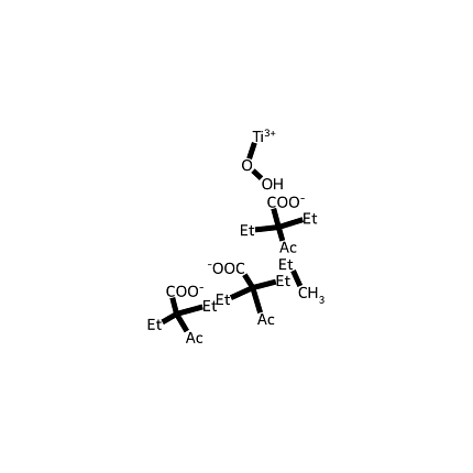 CCC.CCC(CC)(C(C)=O)C(=O)[O-].CCC(CC)(C(C)=O)C(=O)[O-].CCC(CC)(C(C)=O)C(=O)[O-].O[O][Ti+3]